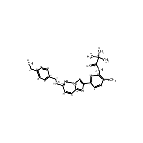 Cc1ccc(-c2cn3nc(NCc4ccc(CO)cc4)ccc3n2)cc1NC(=O)C(C)(C)C